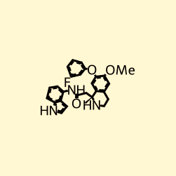 COc1cc2c(cc1Oc1cccc(F)c1)[C@@](C)(CC(=O)Nc1cccc3[nH]ccc13)NCC2